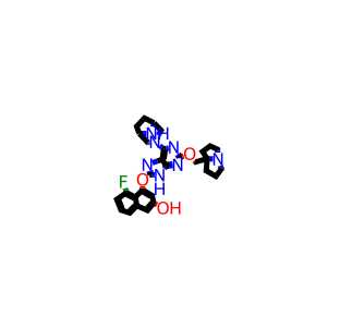 Oc1cc(Oc2nc3c(N4CC5CCC(C4)N5)nc(OCC45CCCN4CCC5)nc3[nH]2)c2c(F)cccc2c1